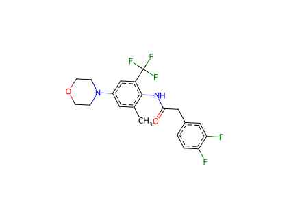 Cc1cc(N2CCOCC2)cc(C(F)(F)F)c1NC(=O)Cc1ccc(F)c(F)c1